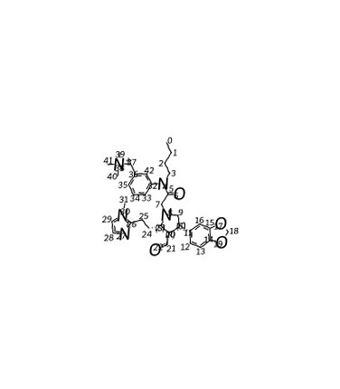 CCCCN(C(=O)CN1C[C@H](c2ccc3c(c2)OCO3)[C@@H](C=O)[C@@H]1CCc1nccn1C)c1cccc(C[N+](C)(C)C)c1